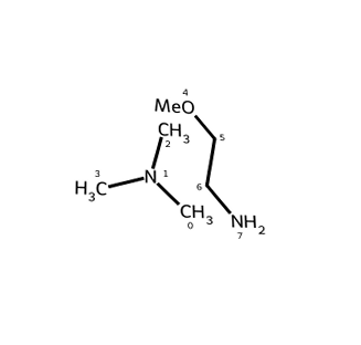 CN(C)C.COCCN